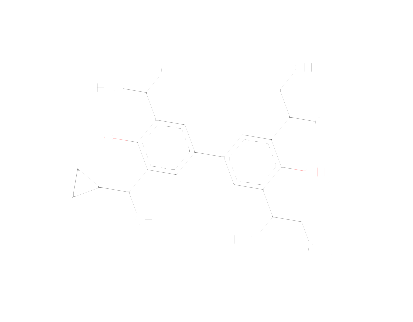 CCC(C)c1cc(-c2cc(C(C)C)c(O)c(C(C)C3CC3)c2)cc(C(C)CC)c1O